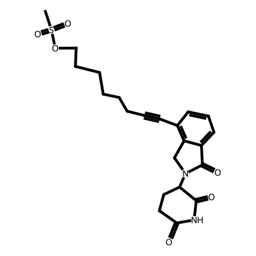 CS(=O)(=O)OCCCCCCC#Cc1cccc2c1CN(C1CCC(=O)NC1=O)C2=O